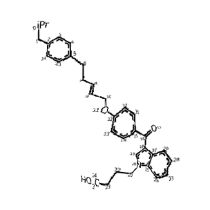 CC(C)Cc1ccc(CC/C=C/COc2ccc(C(=O)c3cn(CCCC(=O)O)c4ccccc34)cc2)cc1